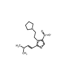 CN(C)C=Cc1ncc([N+](=O)[O-])n1CCN1CCCC1